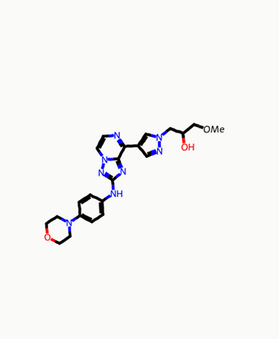 COCC(O)Cn1cc(-c2nccn3nc(Nc4ccc(N5CCOCC5)cc4)nc23)cn1